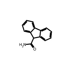 NC(=O)C1c2ccccc2-c2ccccc21